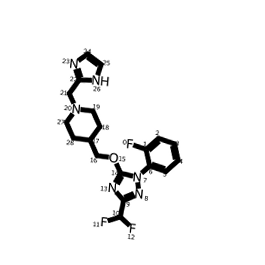 Fc1ccccc1-n1nc(C(F)F)nc1OCC1CCN(Cc2ncc[nH]2)CC1